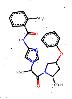 CCCCCCC(C(=O)N1CC(Oc2ccccc2)C[C@H]1C(=O)O)n1cnc(NC(=O)c2ccccc2S(=O)(=O)O)c1